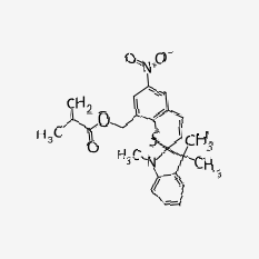 C=C(C)C(=O)OCc1cc([N+](=O)[O-])cc2c1SC1(C=C2)N(C)c2ccccc2C1(C)C